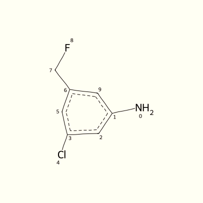 Nc1cc(Cl)cc(CF)c1